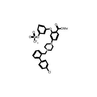 COC(=O)c1ccc(N2CCN(Cc3ccccc3-c3ccc(Cl)cc3)CC2)cc1Oc1cccc(OS(=O)(=O)C(F)(F)F)c1